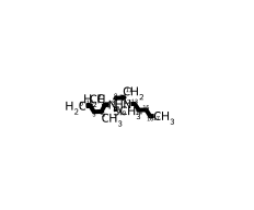 C=C(C)CC(C)C(=C)N(CC(=C)NCCCCC)SC